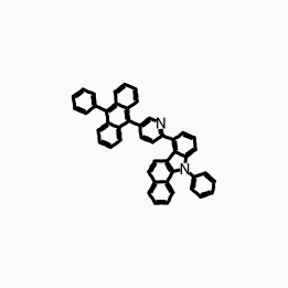 c1ccc(-c2c3ccccc3c(-c3ccc(-c4cccc5c4c4ccc6ccccc6c4n5-c4ccccc4)nc3)c3ccccc23)cc1